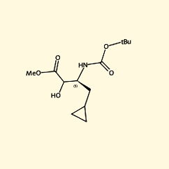 COC(=O)C(O)[C@H](CC1CC1)NC(=O)OC(C)(C)C